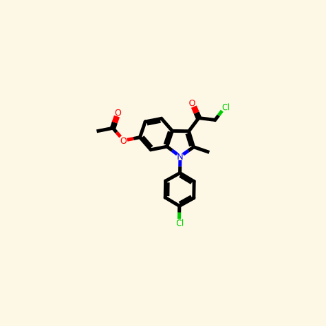 CC(=O)Oc1ccc2c(C(=O)CCl)c(C)n(-c3ccc(Cl)cc3)c2c1